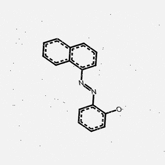 [O]c1ccccc1N=Nc1cccc2ccccc12